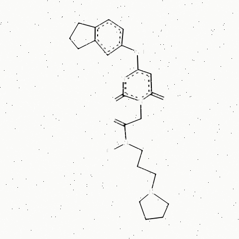 CC(C)N(CCCN1CCCC1)C(=O)Cn1c(=O)cc(Nc2ccc3c(c2)CCC3)[nH]c1=O